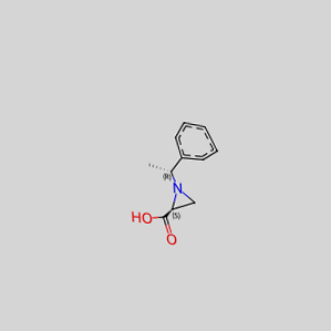 C[C@H](c1ccccc1)N1C[C@H]1C(=O)O